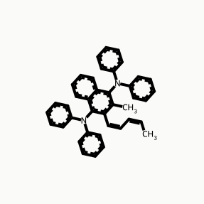 C/C=C\C=C/c1c(C)c(N(c2ccccc2)c2ccccc2)c2ccccc2c1N(c1ccccc1)c1ccccc1